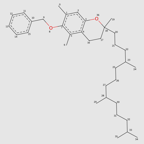 Cc1cc2c(c(C)c1OCc1ccccc1)CCC(C)(CCCC(C)CCCC(C)CCCC(C)C)O2